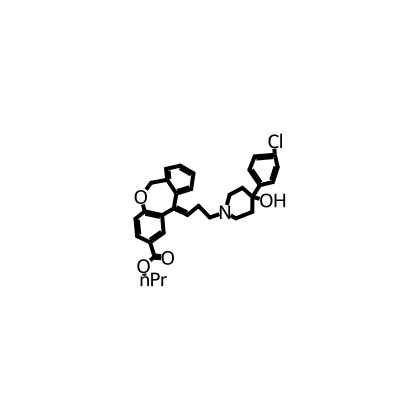 CCCOC(=O)c1ccc2c(c1)/C(=C/CCN1CCC(O)(c3ccc(Cl)cc3)CC1)c1ccccc1CO2